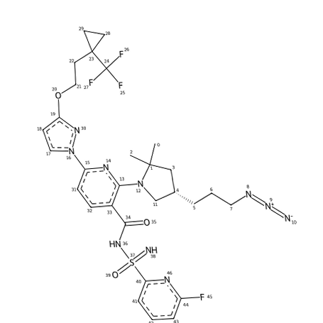 CC1(C)C[C@H](CCCN=[N+]=[N-])CN1c1nc(-n2ccc(OCCC3(C(F)(F)F)CC3)n2)ccc1C(=O)NS(=N)(=O)c1cccc(F)n1